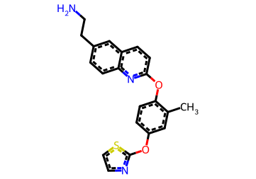 Cc1cc(Oc2nccs2)ccc1Oc1ccc2cc(CCN)ccc2n1